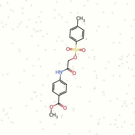 COC(=O)c1ccc(NC(=O)COS(=O)(=O)c2ccc(C)cc2)cc1